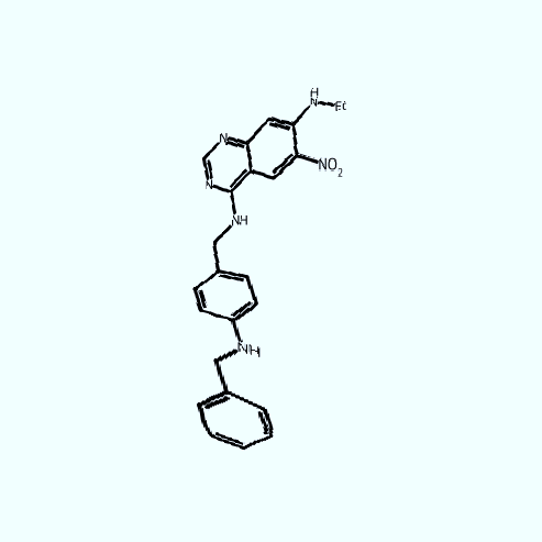 CCNc1cc2ncnc(NCc3ccc(NCc4ccccc4)cc3)c2cc1[N+](=O)[O-]